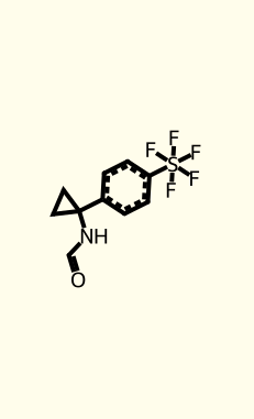 O=CNC1(c2ccc(S(F)(F)(F)(F)F)cc2)CC1